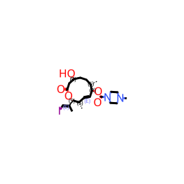 C/C(=C\I)[C@H]1OC(=O)C[C@H](O)CC[C@H](C)[C@@H](OC(=O)N2CCN(C)CC2)/C=C/[C@@H]1C